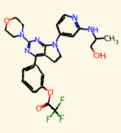 CC(CO)Nc1cc(N2CCc3c(-c4cccc(OC(=O)C(F)(F)F)c4)nc(N4CCOCC4)nc32)ccn1